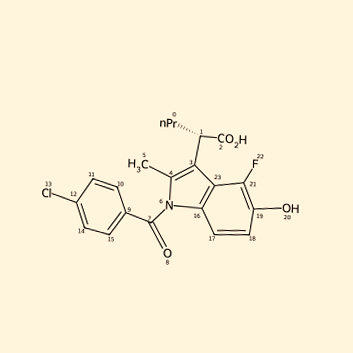 CCC[C@H](C(=O)O)c1c(C)n(C(=O)c2ccc(Cl)cc2)c2ccc(O)c(F)c12